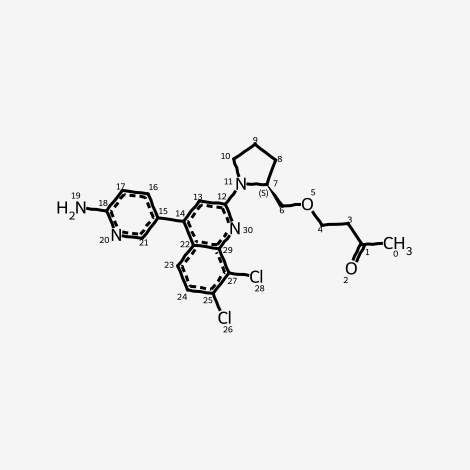 CC(=O)CCOC[C@@H]1CCCN1c1cc(-c2ccc(N)nc2)c2ccc(Cl)c(Cl)c2n1